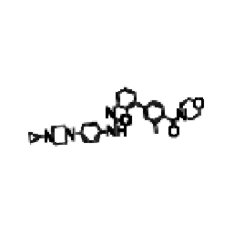 Cc1cc(-c2cccc3nc(Nc4ccc(N5CCN(C6CC6)CC5)cc4)oc23)ccc1C(=O)N1CCOCC1